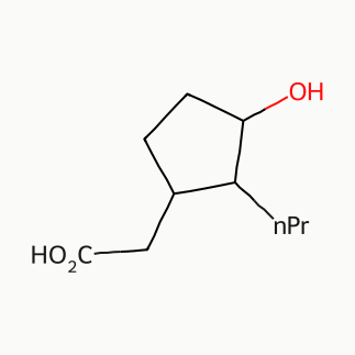 CCCC1C(O)CCC1CC(=O)O